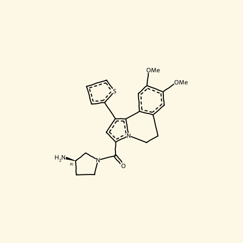 COc1cc2c(cc1OC)-c1c(-c3cccs3)cc(C(=O)N3CC[C@@H](N)C3)n1CC2